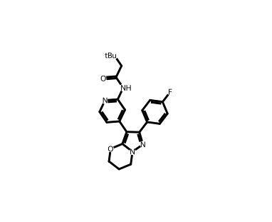 CC(C)(C)CC(=O)Nc1cc(-c2c(-c3ccc(F)cc3)nn3c2OCCC3)ccn1